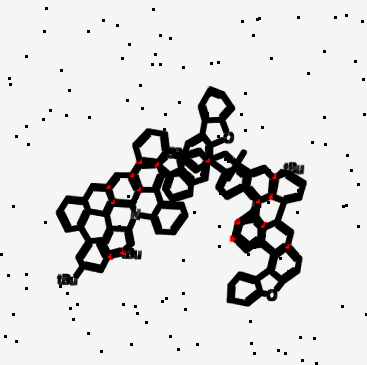 CC(C)(C)c1cc(-c2cccc3cccc(-c4ccccc4N(c4cccc(-c5cccc6oc7ccccc7c56)c4)c4ccccc4-c4cccc5oc6cc(CC(C)(C)c7cc(-c8cccc9cccc(-c%10ccccc%10N(c%10ccc(-c%11cccc%12c%11oc%11ccccc%11%12)cc%10)c%10cccc(-c%11cccc%12oc%13ccccc%13c%11%12)c%10)c89)cc(C(C)(C)C)c7)ccc6c45)c23)cc(C(C)(C)C)c1